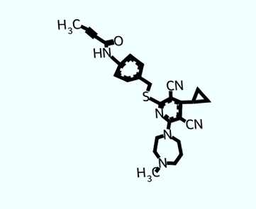 CC#CC(=O)Nc1ccc(CSc2nc(N3CCCN(C)CC3)c(C#N)c(C3CC3)c2C#N)cc1